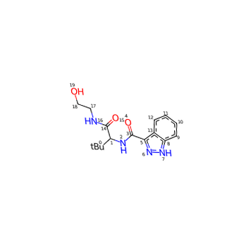 CC(C)(C)C(NC(=O)c1n[nH]c2ccccc12)C(=O)NCCO